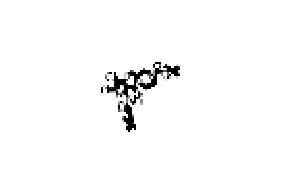 CC(C)(C)CC(=O)Nc1nc(Cl)c(Cl)c2c1C(=O)N1CCN(C(=O)OC(C)(C)C)CC1CO2